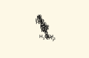 C[Si](C)(C)CCOCn1cc(C(F)(F)F)c2c(Oc3c(F)cc(NC(=O)NCc4nccs4)cc3F)ccnc21